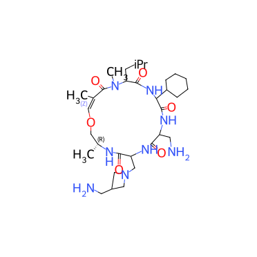 C/C1=C/OC[C@@H](C)NC(=O)C(CN2CC(CN)C2)NC(=O)C(CN)NC(=O)C(C2CCCCC2)NC(=O)C(CC(C)C)N(C)C1=O